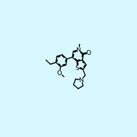 CCc1ccc(-c2cn(C)c(=O)c3cc(CN4CCCC4)sc23)cc1OC